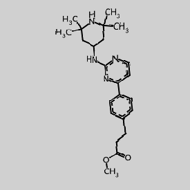 COC(=O)CCc1ccc(-c2ccnc(NC3CC(C)(C)NC(C)(C)C3)n2)cc1